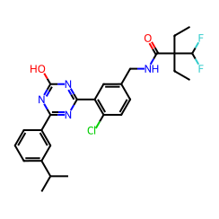 CCC(CC)(C(=O)NCc1ccc(Cl)c(-c2nc(O)nc(-c3cccc(C(C)C)c3)n2)c1)C(F)F